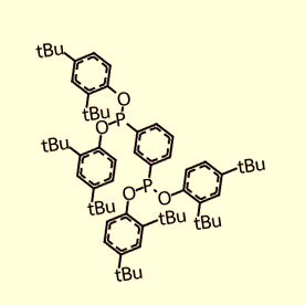 CC(C)(C)c1ccc(OP(Oc2ccc(C(C)(C)C)cc2C(C)(C)C)c2cccc(P(Oc3ccc(C(C)(C)C)cc3C(C)(C)C)Oc3ccc(C(C)(C)C)cc3C(C)(C)C)c2)c(C(C)(C)C)c1